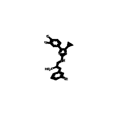 O=C(O)C(CNc1nc(-c2ccc(Cl)c(Cl)c2)c(C2CC2)s1)Cc1cccc(O)c1